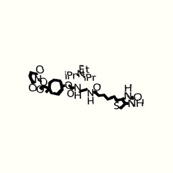 CC1(C(=O)ON2C(=O)CCC2=O)CC=CC(OC(=O)NCCNC(=O)CCCCC2SCC3NC(=O)NC32)CCC1.CCN(C(C)C)C(C)C